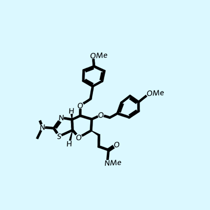 CNC(=O)CC[C@H]1O[C@@H]2SC(N(C)C)=N[C@@H]2C(OCc2ccc(OC)cc2)C1OCc1ccc(OC)cc1